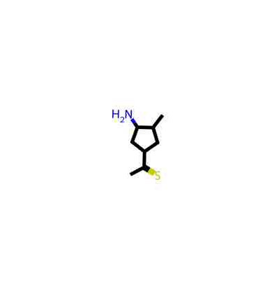 CC(=S)C1CC(C)C(N)C1